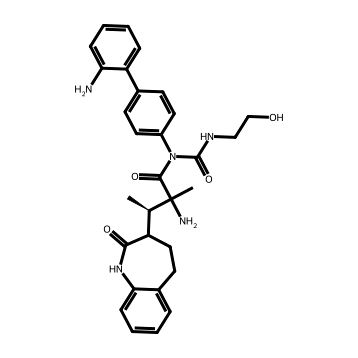 C[C@H](C1CCc2ccccc2NC1=O)C(C)(N)C(=O)N(C(=O)NCCO)c1ccc(-c2ccccc2N)cc1